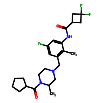 Cc1c(CN2CCN(C(=O)C3CCCC3)C(C)C2)cc(F)cc1NC(=O)C1CC(F)(F)C1